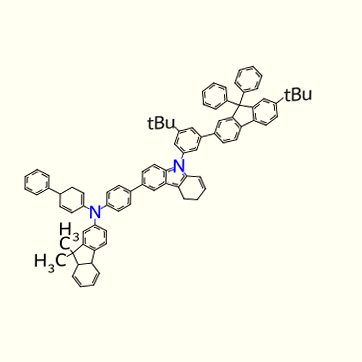 CC(C)(C)c1cc(-c2ccc3c(c2)C(c2ccccc2)(c2ccccc2)c2cc(C(C)(C)C)ccc2-3)cc(-n2c3c(c4cc(-c5ccc(N(C6=CCC(c7ccccc7)C=C6)c6ccc7c(c6)C(C)(C)C6C=CC=CC76)cc5)ccc42)CCC=C3)c1